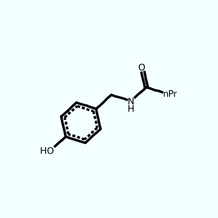 CCCC(=O)NCc1ccc(O)cc1